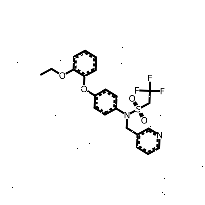 CCOc1ccccc1Oc1ccc(N(Cc2cccnc2)S(=O)(=O)CC(F)(F)F)cc1